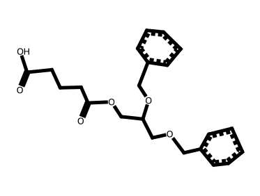 O=C(O)CCCC(=O)OCC(COCc1ccccc1)OCc1ccccc1